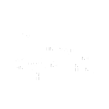 Cc1c(C)c(S(=O)(=O)N[C@@H](C)C(=O)N[C@@H](C)C(=O)N[C@@H](CCCNC(=N)N)C(=O)N[C@@H](C)C(=O)O)c(C)c2c1OC(C)(C)C2